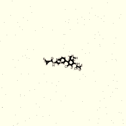 CC(Nc1c(F)c(Cl)c(-c2ccc3nc(NC(=O)C4CC4F)cn3c2)c2cn[nH]c12)C(F)F